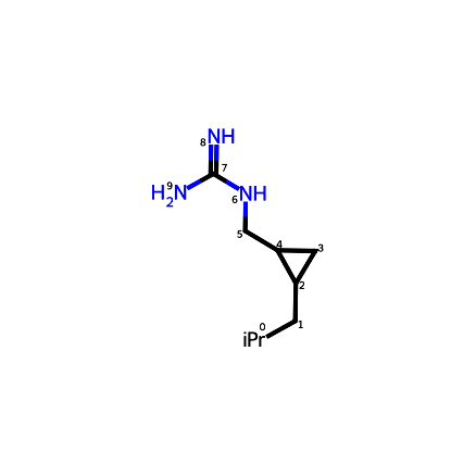 CC(C)CC1CC1CNC(=N)N